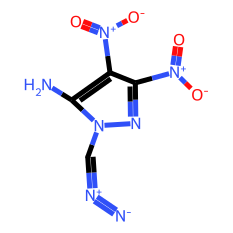 [N-]=[N+]=Cn1nc([N+](=O)[O-])c([N+](=O)[O-])c1N